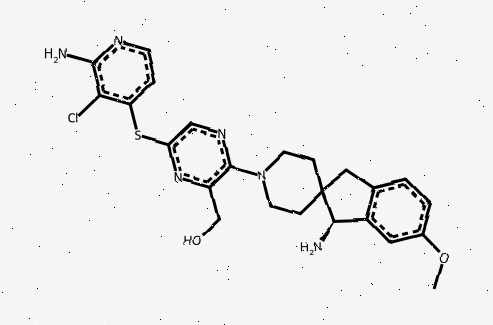 COc1ccc2c(c1)[C@@H](N)C1(CCN(c3ncc(Sc4ccnc(N)c4Cl)nc3CO)CC1)C2